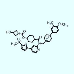 COc1ccc(C23CCC(CN(C(=O)C4CCC(OC(=O)N5CC(O)C5)CC4)c4cc(-c5ccn(C(C)C)n5)ccn4)(CC2)CC3)cc1C